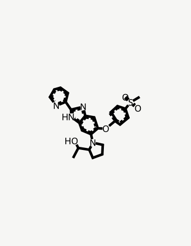 CC(O)C1CCCN1c1cc2[nH]c(-c3ccccn3)nc2cc1Oc1ccc(S(C)(=O)=O)cc1